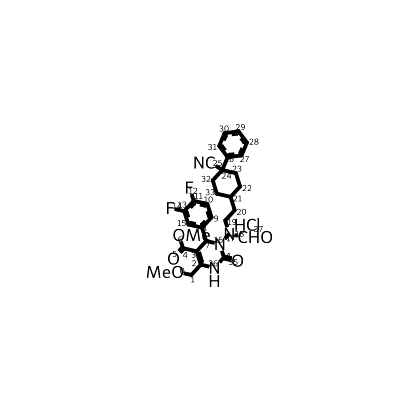 COCC1=C(C(=O)OC)C(c2ccc(F)c(F)c2)N(N(C=O)CCC2CCC(C#N)(c3ccccc3)CC2)C(=O)N1.Cl